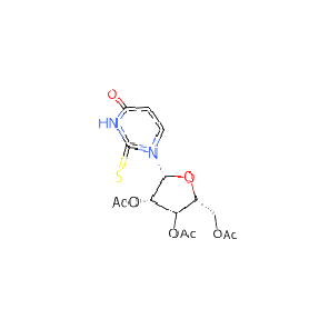 CC(=O)OC[C@H]1O[C@@H](n2ccc(=O)[nH]c2=S)[C@@H](OC(C)=O)C1OC(C)=O